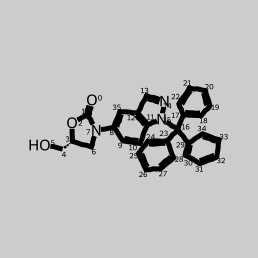 O=C1O[C@@H](CO)CN1c1ccc2c(cnn2C(c2ccccc2)(c2ccccc2)c2ccccc2)c1